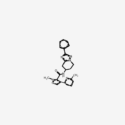 Cc1cccc(-c2cnn(C)c2C(=O)NC2CCn3nc(-c4ccccc4)nc3C2)n1